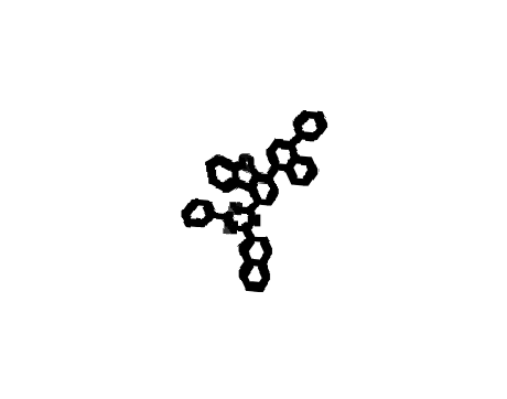 c1ccc(-c2nc(-c3ccc4ccccc4c3)nc(-c3ccc(-c4ccc(-c5ccccc5)c5ccccc45)c4oc5ccccc5c34)n2)cc1